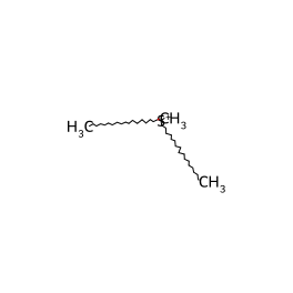 CCCCCCCCCCCCCCCCCC[S+](C)CCCCCCCCCCCCCCCCCC